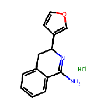 Cl.NC1=NC(c2ccoc2)Cc2ccccc21